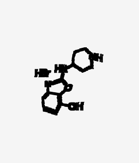 Br.Oc1cccc2nc(NC3CCNCC3)oc12